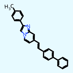 Cc1ccc(-c2cn3ccc(/C=C/c4ccc(-c5ccccc5)cc4)cc3n2)cc1